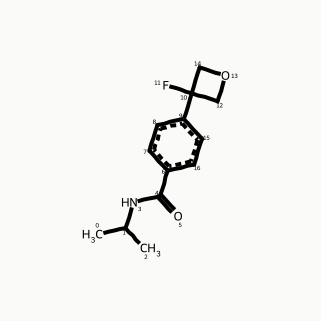 CC(C)NC(=O)c1ccc(C2(F)COC2)cc1